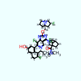 CCc1c(F)ccc2cc(O)cc(-c3ncc4c(N5CC6CCC(C(=O)N(C)C)(C5)C6(F)F)nc(OC[C@@]56CCCN5C[C@H](F)C6)nc4c3F)c12